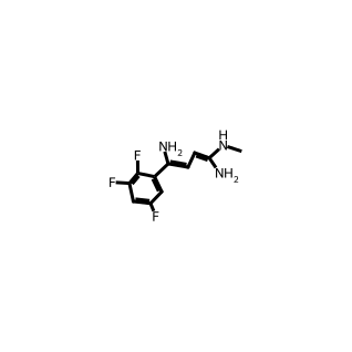 CN/C(N)=C/C=C(\N)c1cc(F)cc(F)c1F